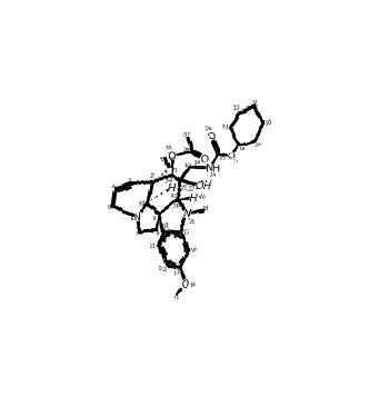 CC[C@]12C=CCN3CC[C@@]4(c5ccc(OC)cc5N(C)[C@H]4C(O)(CNC(=O)OC4CCCCC4)[C@@H]1OC(C)=O)[C@@H]32